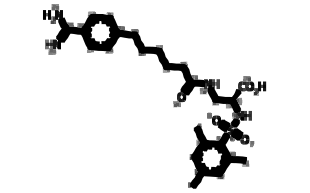 Cc1cc(C)c(S(=O)(=O)N[C@@H](CNC(=O)CCCCCc2ccc(C(=N)N)cc2)C(=O)O)c(C)c1